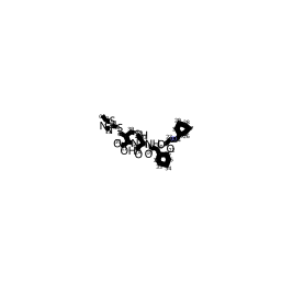 Cc1nnc(SCC2=C(C(=O)O)N3C(=O)C(NC(=O)C(OC(=O)/C=C/c4ccccc4)c4ccccc4)[C@H]3SC2)s1